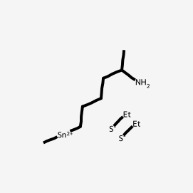 CC[S-].CC[S-].[CH3][Sn+2][CH2]CCCC(C)N